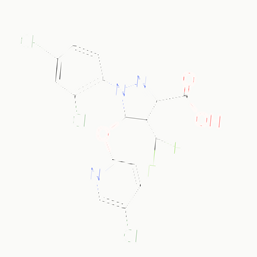 O=C(O)c1nn(-c2ccc(Cl)cc2Cl)c(Oc2ccc(Cl)cn2)c1C(F)F